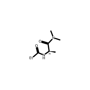 CCC(=O)N[C@H](C)C(=O)N(C)C